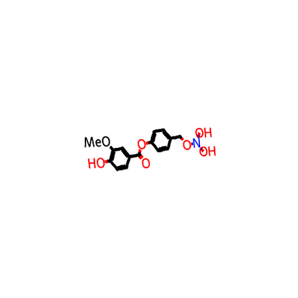 COc1cc(C(=O)Oc2ccc(CON(O)O)cc2)ccc1O